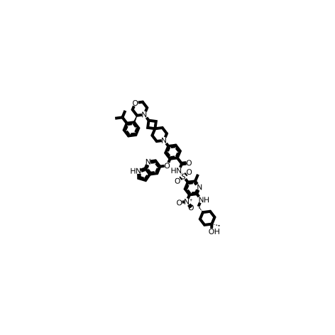 Cc1nc(NC[C@H]2CC[C@](C)(O)CC2)c([N+](=O)[O-])cc1S(=O)(=O)NC(=O)c1ccc(N2CCC3(CC2)CC(N2CCOC[C@@H]2c2ccccc2C(C)C)C3)cc1Oc1cnc2[nH]ccc2c1